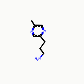 Cc1cnc(CCCN)cn1